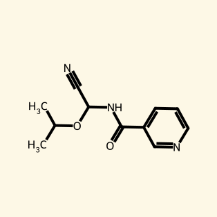 CC(C)OC(C#N)NC(=O)c1cccnc1